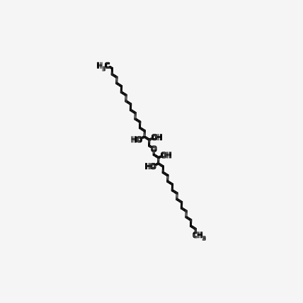 CCCCCCCCCCCCCCCCC(O)C(O)COCC(O)C(O)CCCCCCCCCCCCCCCC